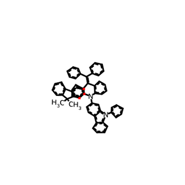 CC1(C)c2ccccc2-c2ccc(N(c3ccc4c5ccccc5n(-c5ccccc5)c4c3)c3ccccc3C(=C(c3ccccc3)c3ccccc3)c3ccccc3)cc21